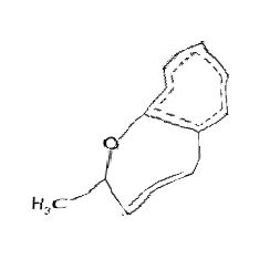 CC1[C]=Cc2ccccc2O1